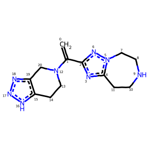 C=C(c1nc2n(n1)CCNCC2)N1CCc2[nH]nnc2C1